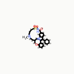 CN1CCCCS(=O)(=O)NC(=O)c2ccc3c(C4CCCCC4)c4n(c3c2)CC(CC1)COc1ccccc1-4